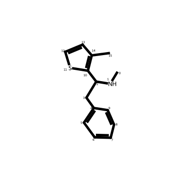 CNC(Cc1ccccc1)c1sccc1C